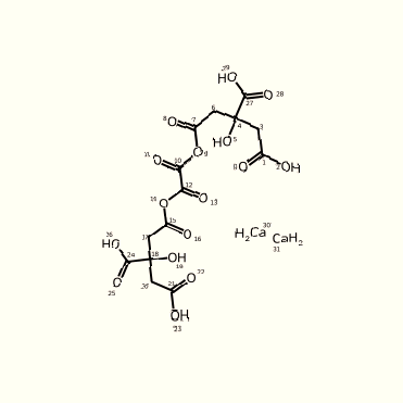 O=C(O)CC(O)(CC(=O)OC(=O)C(=O)OC(=O)CC(O)(CC(=O)O)C(=O)O)C(=O)O.[CaH2].[CaH2]